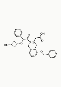 O=C(O)C[C@H]1Cc2c(cccc2OCc2ccccc2)CN1C(=O)C(O[C@H]1C[C@@H](O)C1)c1ccccc1